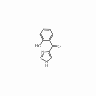 O=C(c1c[nH]nn1)c1ccccc1O